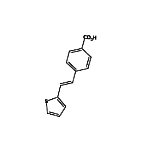 O=C(O)c1ccc(/C=C/c2cccs2)cc1